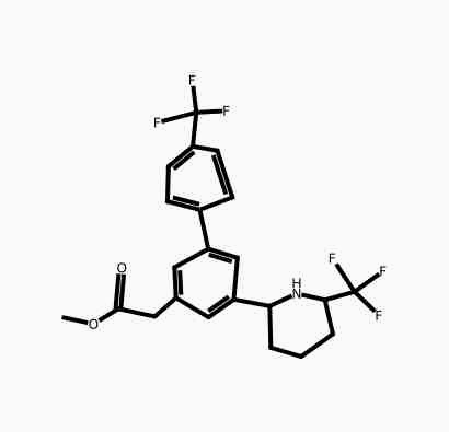 COC(=O)Cc1cc(-c2ccc(C(F)(F)F)cc2)cc(C2CCCC(C(F)(F)F)N2)c1